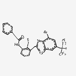 O=C(Nc1cccc(-c2nc3c(Br)cc(C(F)(C(F)(F)F)C(F)(F)F)cc3o2)c1F)c1ccccc1